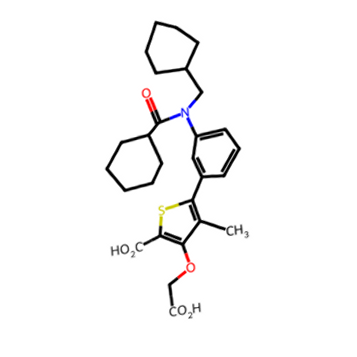 Cc1c(-c2cccc(N(CC3CCCCC3)C(=O)C3CCCCC3)c2)sc(C(=O)O)c1OCC(=O)O